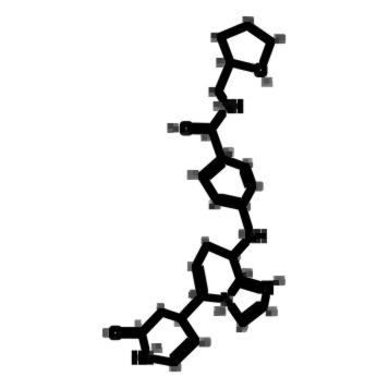 O=C1CC(C2=CCC(Nc3ccc(C(=O)NCC4CCCO4)cc3)c3nccn32)C=CN1